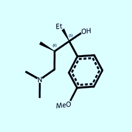 CC[C@@](O)(c1cccc(OC)c1)[C@H](C)CN(C)C